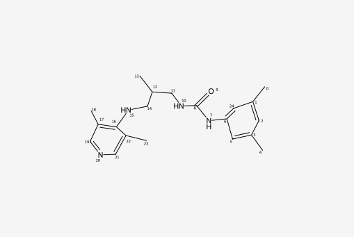 Cc1cc(C)cc(NC(=O)NCC(C)CNc2c(C)cncc2C)c1